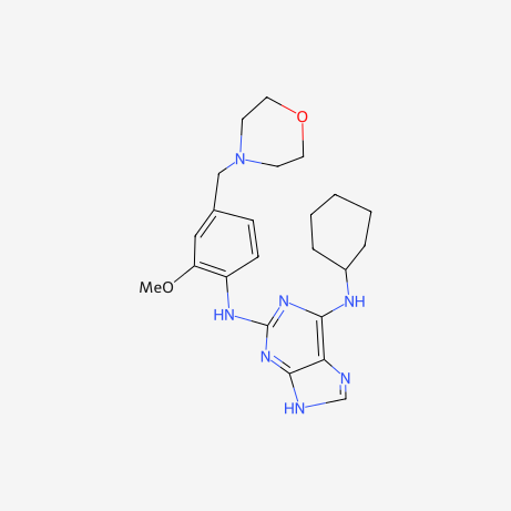 COc1cc(CN2CCOCC2)ccc1Nc1nc(NC2CCCCC2)c2nc[nH]c2n1